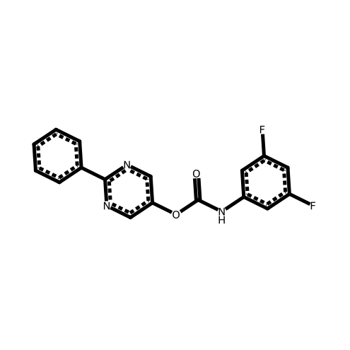 O=C(Nc1cc(F)cc(F)c1)Oc1cnc(-c2ccccc2)nc1